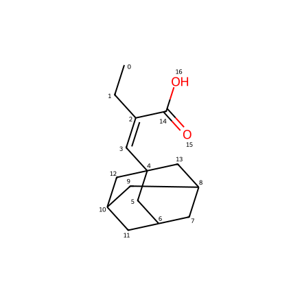 CCC(=CC12CC3CC(CC(C3)C1)C2)C(=O)O